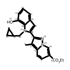 CCOC(=O)c1ccc2c(C)c(-c3cc4cccc(O)c4n3CC3CC3)nn2c1